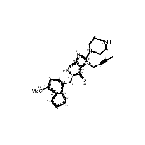 CC#CCn1c(N2CCNCC2)nc2cnn(Cc3ccc(OC)c4ccccc34)c(=O)c21